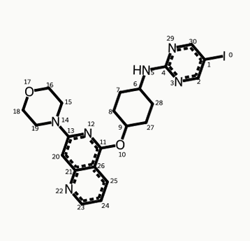 Ic1cnc(NC2CCC(Oc3nc(N4CCOCC4)cc4ncccc34)CC2)nc1